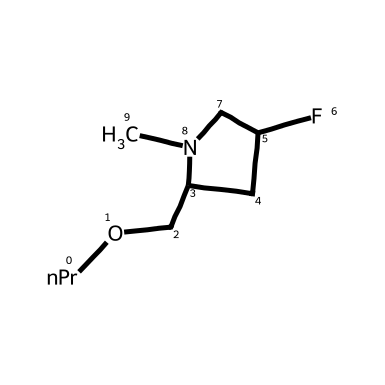 CCCOCC1CC(F)CN1C